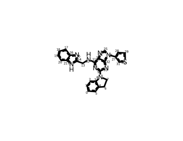 c1ccc2c(c1)CCN2c1nc(NCc2nc3ccccc3[nH]2)c2ncn(-c3ccsc3)c2n1